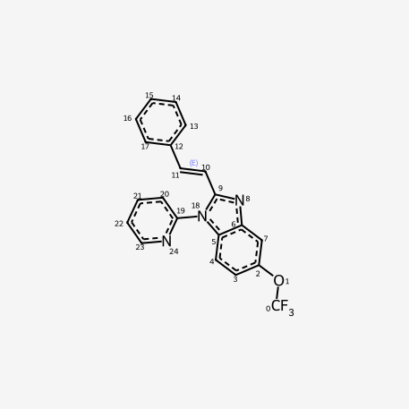 FC(F)(F)Oc1ccc2c(c1)nc(/C=C/c1ccccc1)n2-c1ccccn1